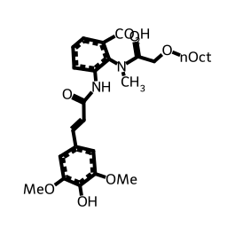 CCCCCCCCOCC(=O)N(C)c1c(NC(=O)C=Cc2cc(OC)c(O)c(OC)c2)cccc1C(=O)O